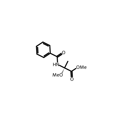 COC(=O)[C@](C)(NC(=O)c1ccccc1)OC